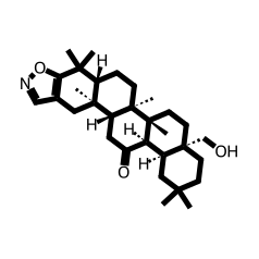 CC1(C)CC[C@]2(CO)CC[C@]3(C)[C@H](C(=O)C[C@@H]4[C@@]5(C)Cc6cnoc6C(C)(C)[C@@H]5CC[C@]43C)[C@@H]2C1